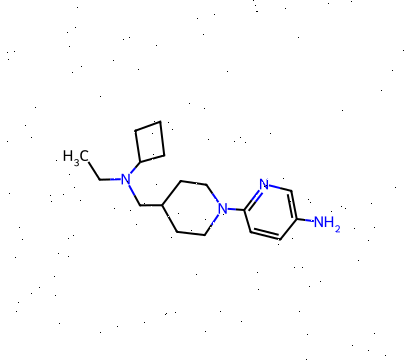 CCN(CC1CCN(c2ccc(N)cn2)CC1)C1CCC1